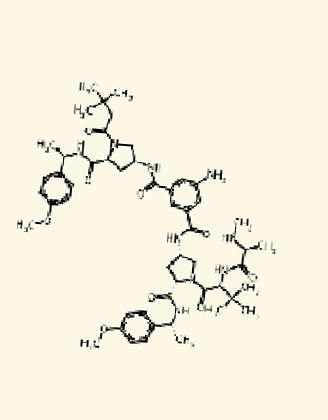 CN[C@@H](C)C(=O)N[C@H](C(=O)N1C[C@@H](NC(=O)c2cc(N)cc(C(=O)N[C@H]3C[C@@H](C(=O)N[C@H](C)c4ccc(OC)cc4)N(C(=O)CC(C)(C)C)C3)c2)C[C@H]1C(=O)N[C@H](C)c1ccc(OC)cc1)C(C)(C)C